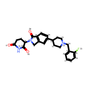 O=C1CCC(N2Cc3cc(C4CCN(Cc5ccccc5F)CC4)ccc3C2=O)C(=O)N1